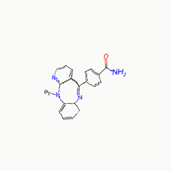 CC(C)N1C2=CC=CCC2N=C(c2ccc(C(N)=O)cc2)c2cccnc21